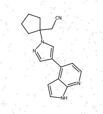 N#CCC1(n2cc(-c3ccnc4[nH]ccc34)cn2)CCCC1